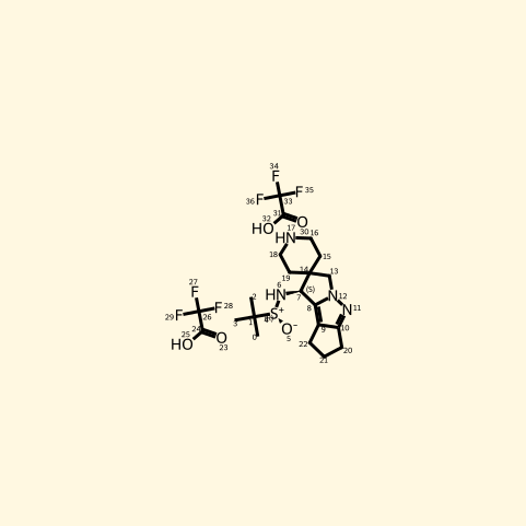 CC(C)(C)[S@+]([O-])N[C@@H]1c2c3c(nn2CC12CCNCC2)CCC3.O=C(O)C(F)(F)F.O=C(O)C(F)(F)F